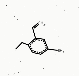 Bc1ccc(CI)c(C=C)c1